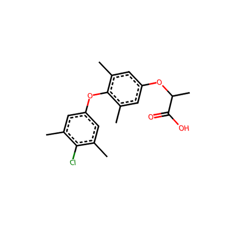 Cc1cc(Oc2c(C)cc(OC(C)C(=O)O)cc2C)cc(C)c1Cl